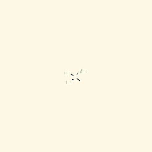 CCCC[PH](C)(CC)C(C)C